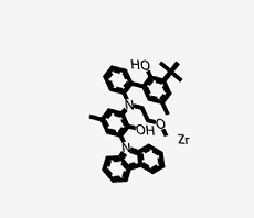 COCCN(c1ccccc1-c1cc(C)cc(C(C)(C)C)c1O)c1cc(C)cc(-n2c3ccccc3c3ccccc32)c1O.[Zr]